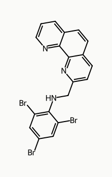 Brc1cc(Br)c(NCc2ccc3ccc4cccnc4c3n2)c(Br)c1